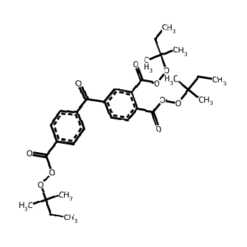 CCC(C)(C)OOC(=O)c1ccc(C(=O)c2ccc(C(=O)OOC(C)(C)CC)c(C(=O)OOC(C)(C)CC)c2)cc1